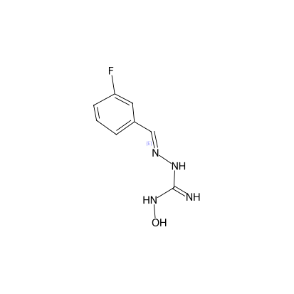 N=C(NO)N/N=C/c1cccc(F)c1